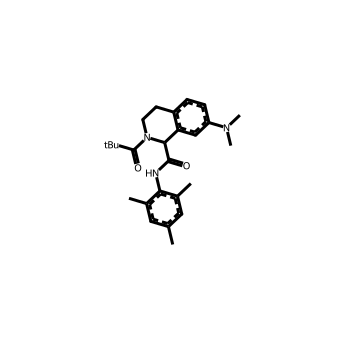 Cc1cc(C)c(NC(=O)C2c3cc(N(C)C)ccc3CCN2C(=O)C(C)(C)C)c(C)c1